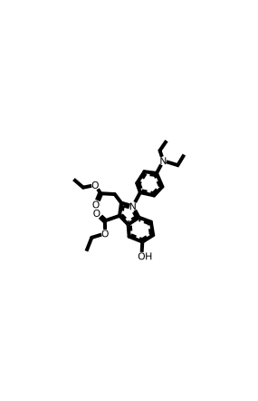 CCOC(=O)Cc1c(C(=O)OCC)c2cc(O)ccc2n1-c1ccc(N(CC)CC)cc1